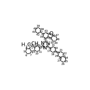 CC1(C)c2ccccc2-c2ccc(-c3nc(-c4ccc(-c5ccc6ccccc6c5)cc4)nc(-c4cc(-c5ccccc5)cc5oc6ccccc6c45)n3)cc21